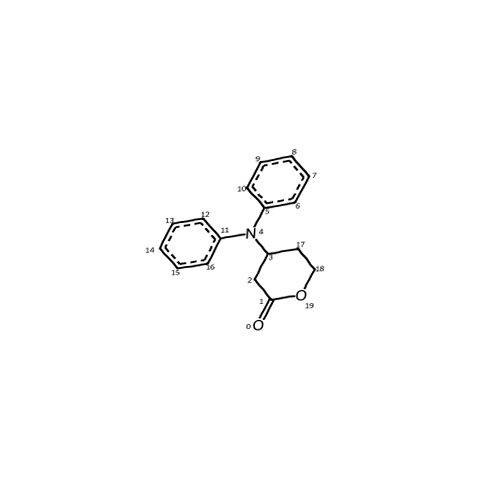 O=C1CC(N(c2ccccc2)c2ccccc2)CCO1